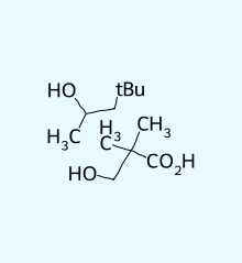 CC(C)(CO)C(=O)O.CC(O)CC(C)(C)C